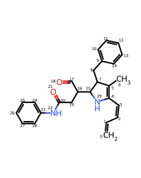 C=C/C=C\C1=C(C)C(Cc2ccccc2)C(C(C=O)CC(=O)Nc2ccccc2)N1